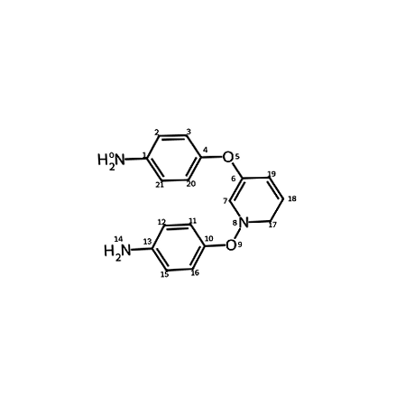 Nc1ccc(OC2=CN(Oc3ccc(N)cc3)CC=C2)cc1